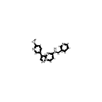 COc1ccc(-c2cnn3ccc(NCc4cccnc4)nc23)cn1